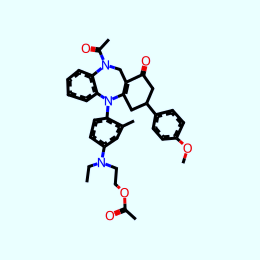 CCN(CCOC(C)=O)c1ccc(N2C3=C(CN(C(C)=O)c4ccccc42)C(=O)CC(c2ccc(OC)cc2)C3)c(C)c1